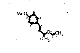 C=COC(=C)C=Cc1ccc(OC)cc1